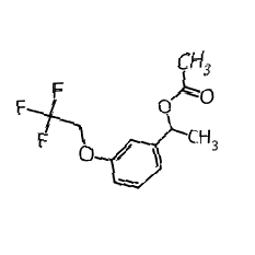 CC(=O)OC(C)c1cccc(OCC(F)(F)F)c1